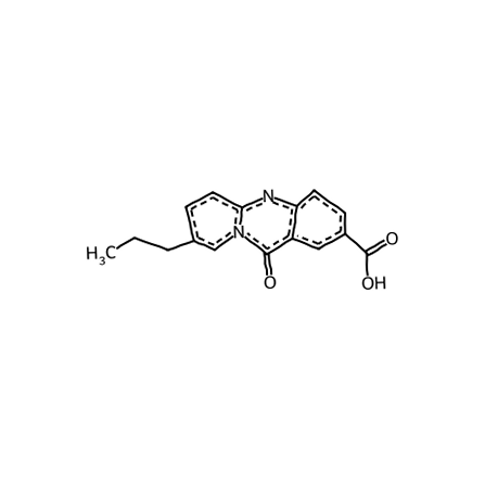 CCCc1ccc2nc3ccc(C(=O)O)cc3c(=O)n2c1